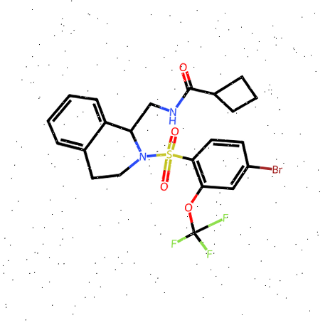 O=C(NCC1c2ccccc2CCN1S(=O)(=O)c1ccc(Br)cc1OC(F)(F)F)C1CCC1